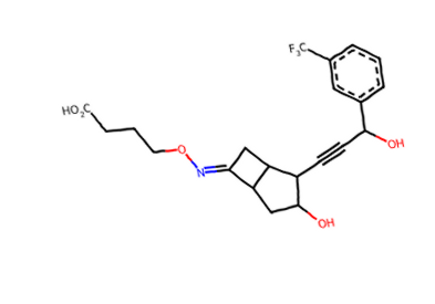 O=C(O)CCCON=C1CC2C1CC(O)C2C#CC(O)c1cccc(C(F)(F)F)c1